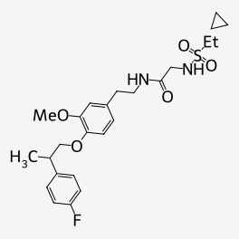 C1CC1.CCS(=O)(=O)NCC(=O)NCCc1ccc(OCC(C)c2ccc(F)cc2)c(OC)c1